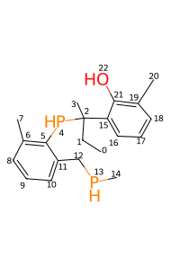 CCC(C)(Pc1c(C)cccc1CPC)c1cccc(C)c1O